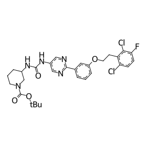 CC(C)(C)OC(=O)N1CCCC(NC(=O)Nc2cnc(-c3cccc(OCCc4c(Cl)ccc(F)c4Cl)c3)nc2)C1